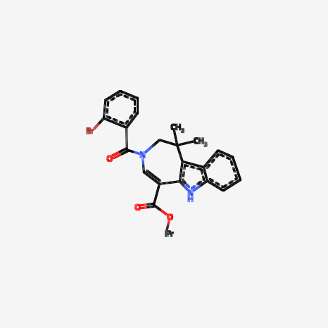 CC(C)OC(=O)C1=CN(C(=O)c2ccccc2Br)CC(C)(C)c2c1[nH]c1ccccc21